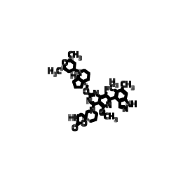 COc1nc(-c2c(C)c(C)cc3[nH]ncc23)c(F)c2nc(OC[C@]34CCC[C@H]3N(C3C[C@@H](C)O[C@@H](C)C3)CCC4)nc(N3CCC[C@]4(CNC(=O)O4)C3)c12